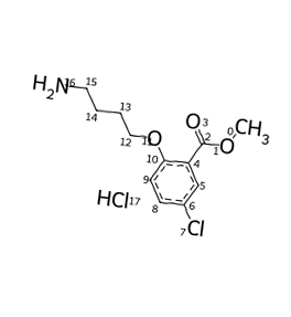 COC(=O)c1cc(Cl)ccc1OCCCCN.Cl